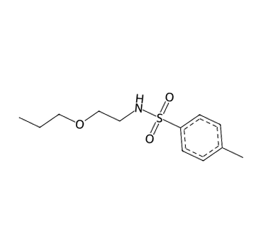 CCCOCCNS(=O)(=O)c1ccc(C)cc1